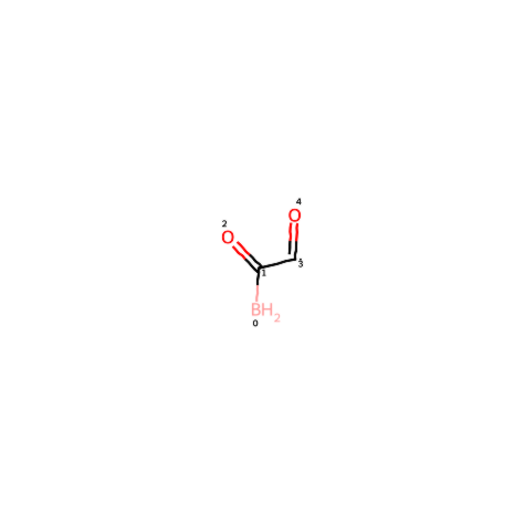 BC(=O)[C]=O